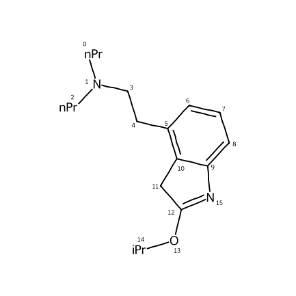 CCCN(CCC)CCc1cccc2c1CC(OC(C)C)=N2